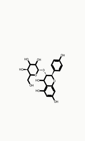 OCC1O[C@@H](O[C@H]2C(O)c3c(O)cc(O)cc3O[C@@H]2c2ccc(O)cc2)C(O)C(O)[C@@H]1O